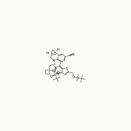 CC(C)(C)[Si](C)(C)OCc1cc2nccc(-c3cc(C#N)cc4c3N([C@@H]3CN(S(=O)(=O)C(C)(C)C)C5(CCC5)C3)C[C@H]3C[C@@H]43)c2s1